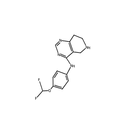 FC(F)Oc1ccc(Nc2ncnc3c2CNCC3)cc1